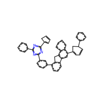 C1=CCC(c2nc(-c3ccccc3)nc(-c3cccc(-c4cccc5c4Cc4c-5cc(C5=CC=CC(c6ccccc6)C5)c5ccccc45)c3)n2)=C1